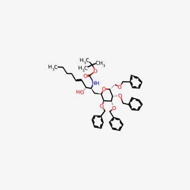 CCCCC=C[C@@H](O)[C@H](C[C@H]1O[C@H](COCc2ccccc2)[C@H](OCc2ccccc2)[C@H](OCc2ccccc2)[C@H]1OCc1ccccc1)NC(=O)OC(C)(C)C